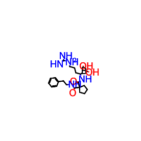 N=C(N)NCCCC(NC(=O)C1(C(=O)NCCc2ccccc2)CCCC1)B(O)O